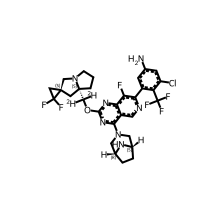 [2H]C([2H])(Oc1nc(N2C[C@H]3CC[C@@H](C2)N3)c2cnc(-c3cc(N)cc(Cl)c3C(F)(F)F)c(F)c2n1)[C@@]12CCCN1C[C@@]1(CC1(F)F)C2